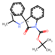 CC(C)N[C@@]1(c2ccccc2)C(=O)N(C(=O)OC(C)(C)C)c2ccccc21